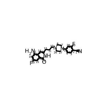 N#Cc1ccc(N2CCN(CCCc3cc4c(N)cc(F)cc4c(=O)[nH]3)CC2)cc1F